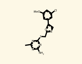 COc1cc(Cl)cc(-c2cnc(CSc3nc(C)nc(N)n3)o2)c1